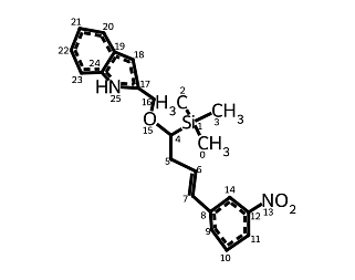 C[Si](C)(C)C(CC=Cc1cccc([N+](=O)[O-])c1)OCc1cc2ccccc2[nH]1